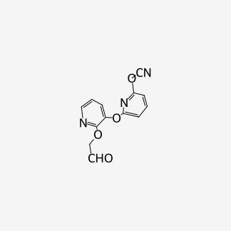 N#COc1cccc(Oc2cccnc2OCC=O)n1